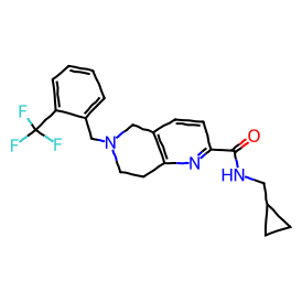 O=C(NCC1CC1)c1ccc2c(n1)CCN(Cc1ccccc1C(F)(F)F)C2